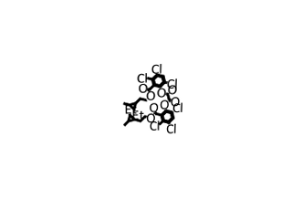 CCC1C(C)C1CCOC(=O)c1c(Cl)c(Cl)cc(Cl)c1OC(=O)C(=O)Oc1c(Cl)cc(Cl)c(Cl)c1C(=O)OCCC1C(C)C1CC